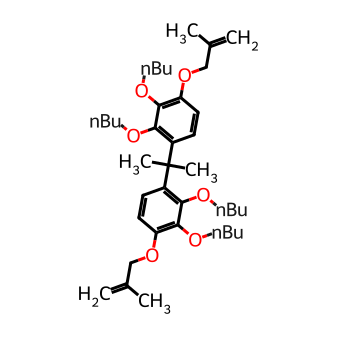 C=C(C)COc1ccc(C(C)(C)c2ccc(OCC(=C)C)c(OCCCC)c2OCCCC)c(OCCCC)c1OCCCC